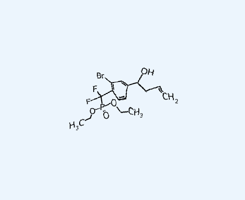 C=CCC(O)c1ccc(C(F)(F)P(=O)(OCC)OCC)c(Br)c1